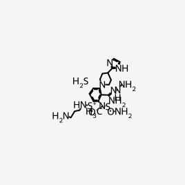 CN(SON)c1c([S+]([O-])NCCCN)ccc(N2CCC(c3ncc[nH]3)CC2)c1/C(N)=N/NN.S